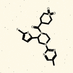 Cc1cnc(N2CCN(C(=O)C3CCS(=O)(=O)CC3)C(c3ccc(F)s3)C2)nc1